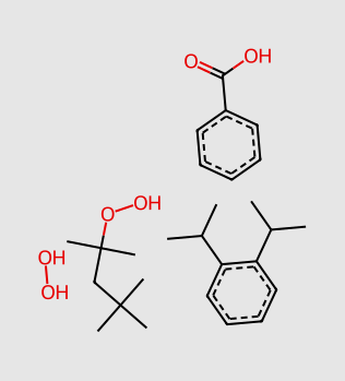 CC(C)(C)CC(C)(C)OO.CC(C)c1ccccc1C(C)C.O=C(O)c1ccccc1.OO